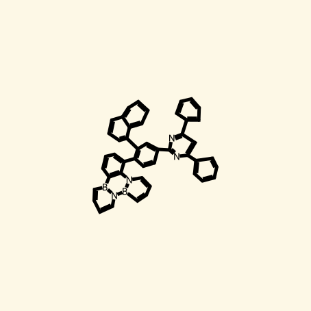 C1=CB2c3cccc(-c4ccc(-c5nc(-c6ccccc6)cc(-c6ccccc6)n5)cc4-c4cccc5ccccc45)c3N3C=CC=CB3N2C=C1